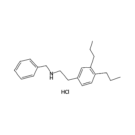 CCCc1ccc(CCNCc2ccccc2)cc1CCC.Cl